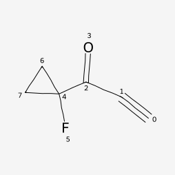 C#CC(=O)C1(F)CC1